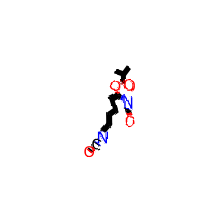 C=C(C)C(=O)OC(CCCCCN=C=O)N=C=O